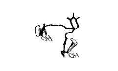 Cc1cc(CCCCC2(C(=O)O)CC2)c(CCCCC(C)(C)C(=O)O)c(C)c1C